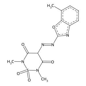 Cc1cccc2nc(N=NC3C(=O)N(C)S(=O)(=O)N(C)C3=O)oc12